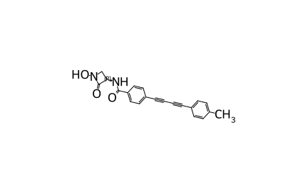 Cc1ccc(C#CC#Cc2ccc(C(=O)N[C@@H]3CN(O)C3=O)cc2)cc1